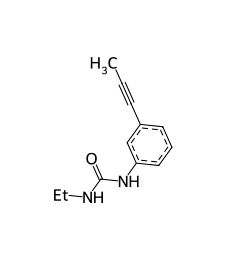 CC#Cc1cccc(NC(=O)NCC)c1